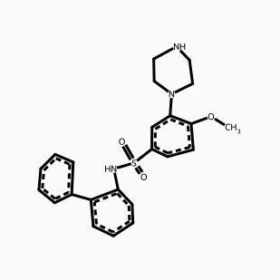 COc1ccc(S(=O)(=O)Nc2ccccc2-c2ccccc2)cc1N1CCNCC1